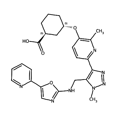 Cc1nc(-c2nnn(C)c2CNc2ncc(-c3ccccn3)o2)ccc1O[C@H]1CCC[C@H](C(=O)O)C1